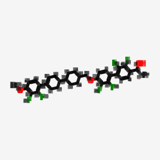 CCCC(O)c1ccc(-c2ccc(OCC3CCC(C4CC=C(c5ccc(OCC)c(F)c5F)CC4)CC3)c(F)c2F)c(F)c1F